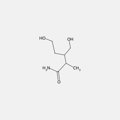 CC(C(N)=O)C(CO)CCO